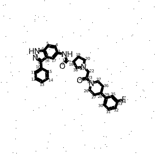 O=C(Nc1ccc2[nH]nc(-c3ccccc3)c2c1)[C@@H]1CCN(CC(=O)N2CCC(c3cccc(F)c3)CC2)C1